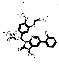 CCOc1cc([C@@H](CS(C)(=O)=O)n2c(=O)n(C)c3cc(-c4ccccc4F)cnc32)ccc1OC